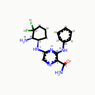 NC(=O)c1ncc(N[C@@H]2CCCC(F)(F)[C@@H]2N)nc1Nc1ccccc1